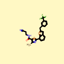 Cc1nc(-c2cccc3cc(Cc4cccc(C(F)(F)F)c4)sc23)sc1C(=O)NCCC#N